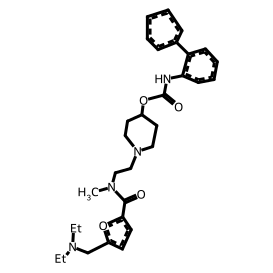 CCN(CC)Cc1ccc(C(=O)N(C)CCN2CCC(OC(=O)Nc3ccccc3-c3ccccc3)CC2)o1